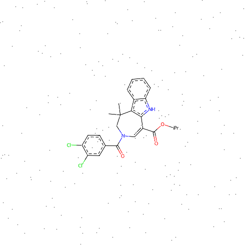 CC(C)OC(=O)C1=CN(C(=O)c2ccc(Cl)c(Cl)c2)CC(C)(C)c2c1[nH]c1ccccc21